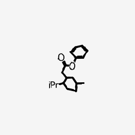 CC1CCC(C(C)C)C(CC(=O)Oc2ccccc2)C1